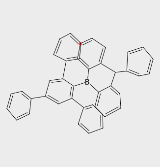 c1ccc(-c2cc(-c3ccccc3)c(B3c4ccccc4C(c4ccccc4)c4ccccc43)c(-c3ccccc3)c2)cc1